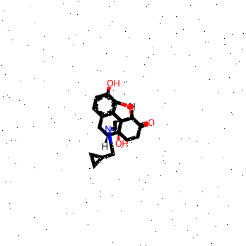 O=C1CC[C@]2(O)[C@@H]3Cc4ccc(O)c5c4[C@]2(CCN3CC2CC2)[C@@H]1O5